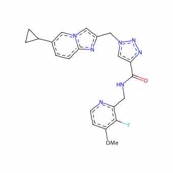 COc1ccnc(CNC(=O)c2cn(Cc3cn4cc(C5CC5)ccc4n3)nn2)c1F